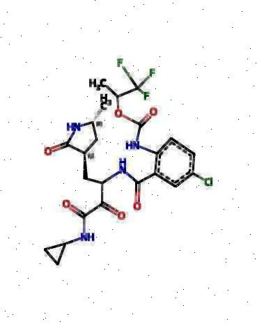 CC(OC(=O)Nc1ccc(Cl)cc1C(=O)NC(C[C@@H]1C[C@@H](C)NC1=O)C(=O)C(=O)NC1CC1)C(F)(F)F